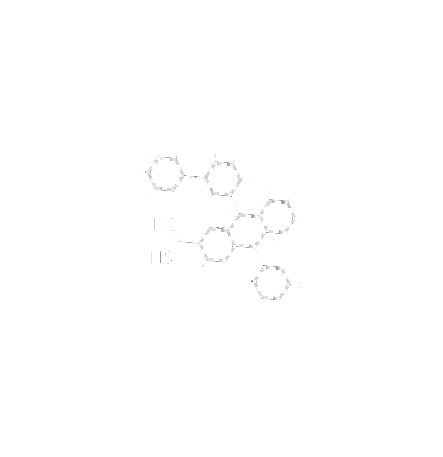 CC(S)c1ccc2c(-c3ccccc3)c3ccccc3c(-c3cccc(-c4ccccc4)c3)c2c1